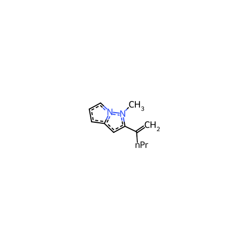 C=C(CCC)c1cc2cccn2n1C